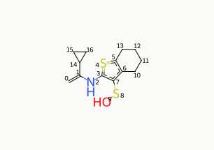 C=C(Nc1sc2c(c1SO)CCCC2)C1CC1